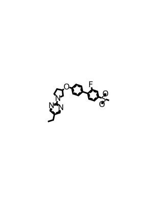 CCc1cnc(N2CCC(Oc3ccc(-c4ccc(S(C)(=O)=O)cc4F)cc3)C2)nc1